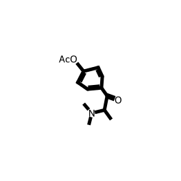 CC(=O)Oc1ccc(C(=O)C(C)N(C)C)cc1